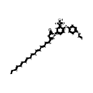 CCCCCCCCCCCCCCCCCC1=NN(c2ccc(Oc3ccc(OCC)cc3)c(S(=O)(=O)O)c2)C(=O)C1